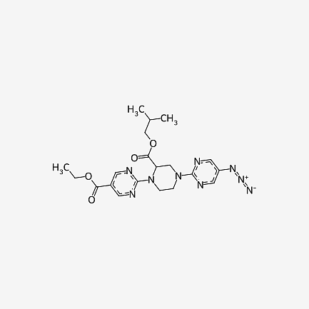 CCOC(=O)c1cnc(N2CCN(c3ncc(N=[N+]=[N-])cn3)CC2C(=O)OCC(C)C)nc1